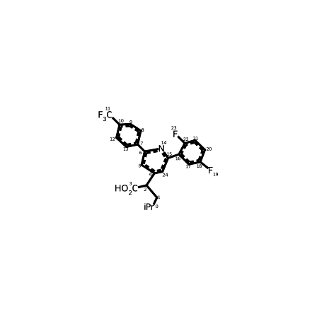 CC(C)CC(C(=O)O)c1cc(-c2ccc(C(F)(F)F)cc2)nc(-c2cc(F)ccc2F)c1